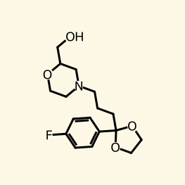 OCC1CN(CCCC2(c3ccc(F)cc3)OCCO2)CCO1